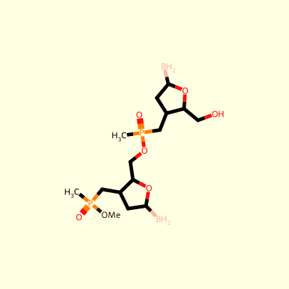 BC1CC(CP(C)(=O)OCC2OC(B)CC2CP(C)(=O)OC)C(CO)O1